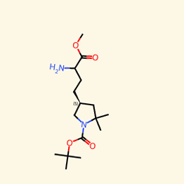 COC(=O)C(N)CC[C@@H]1CN(C(=O)OC(C)(C)C)C(C)(C)C1